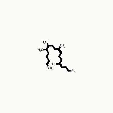 CC=CCCC(C)=C(C)CCC(C)=CCCC(C)=CCCC(C)=O